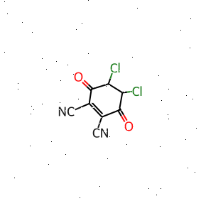 N#CC1=C(C#N)C(=O)C(Cl)C(Cl)C1=O